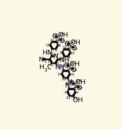 Cc1c(C#N)c(Nc2ccc(S(=O)(=O)O)cc2)nc(Nc2ccc(S(=O)(=O)O)cc2)c1/N=N/c1ccc(/N=N/c2ccc(O)cc2S(=O)(=O)O)cc1S(=O)(=O)O